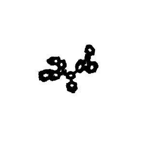 c1ccc(-c2cc(-c3ccc4c(c3)c3ccccc3n4-c3ccccc3)cc(-n3c4ccc5ccccc5c4c4c5ccccc5ccc43)c2)cc1